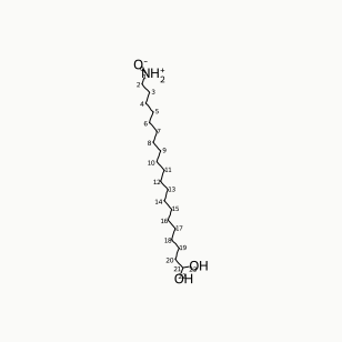 [O-][NH2+]CCCCCCCCCCCCCCCCCCCC(O)O